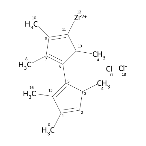 CC1=CC(C)C(C2=C(C)C(C)=[C]([Zr+2])C2C)=C1C.[Cl-].[Cl-]